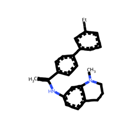 C=C(Nc1ccc2c(c1)N(C)CCC2)c1ccc(-c2cccc(CC)c2)cc1